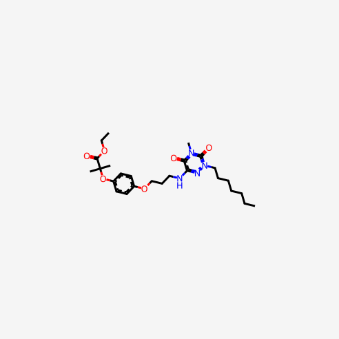 CCCCCCCn1nc(NCCCOc2ccc(OC(C)(C)C(=O)OCC)cc2)c(=O)n(C)c1=O